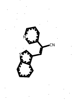 N#CC(=Cc1csc2ccccc12)c1cccnc1